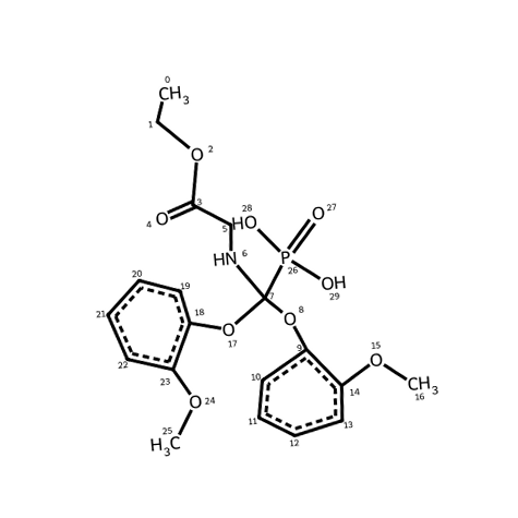 CCOC(=O)CNC(Oc1ccccc1OC)(Oc1ccccc1OC)P(=O)(O)O